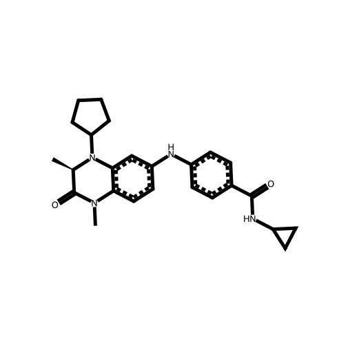 C[C@@H]1C(=O)N(C)c2ccc(Nc3ccc(C(=O)NC4CC4)cc3)cc2N1C1CCCC1